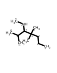 CCCC(C)(C)C(NC)C(C)C